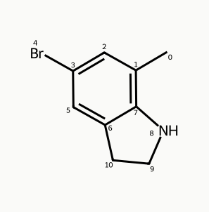 Cc1cc(Br)cc2c1NCC2